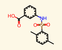 Cc1ccc(C)c(S(=O)(=O)Nc2cccc(C(=O)O)c2)c1